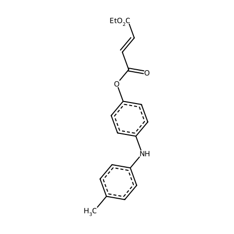 CCOC(=O)C=CC(=O)Oc1ccc(Nc2ccc(C)cc2)cc1